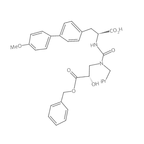 COc1ccc(-c2ccc(C[C@H](NC(=O)N(CC(C)C)C[C@H](O)C(=O)OCc3ccccc3)C(=O)O)cc2)cc1